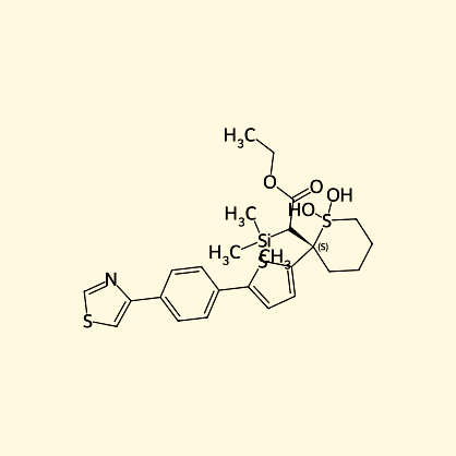 CCOC(=O)C([C@]1(c2ccc(-c3ccc(-c4cscn4)cc3)s2)CCCCS1(O)O)[Si](C)(C)C